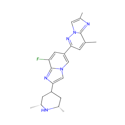 Cc1cn2nc(-c3cc(F)c4nc(C5C[C@@H](C)N[C@@H](C)C5)cn4c3)cc(C)c2n1